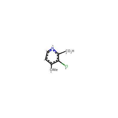 COc1ccnc(C(=O)O)c1Cl